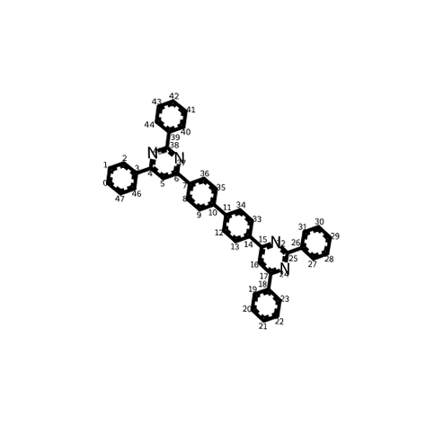 c1ccc(-c2cc(-c3ccc(-c4ccc(-c5cc(-c6ccccc6)nc(-c6ccccc6)n5)cc4)cc3)nc(-c3ccccc3)n2)cc1